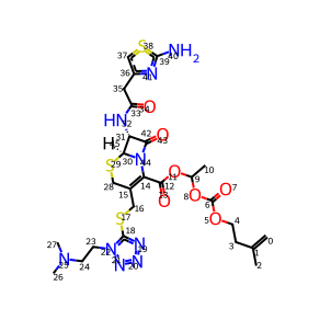 C=C(C)CCOC(=O)OC(C)OC(=O)C1=C(CSc2nnnn2CCN(C)C)CS[C@H]2[C@H](NC(=O)Cc3csc(N)n3)C(=O)N12